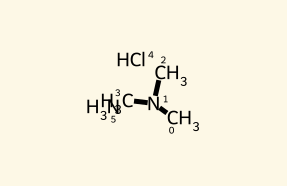 CN(C)C.Cl.N